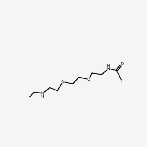 CCNCCOCCOCCNC(=O)I